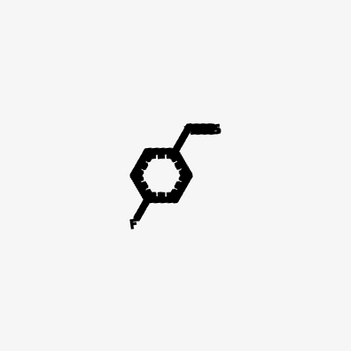 Fc1ccc([C]=S)cc1